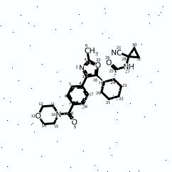 Cc1nc(-c2ccc(C(=O)N3CCOCC3)cc2)c([C@@H]2CCCC[C@H]2C(=O)NC2(C#N)CC2)o1